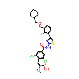 CO/C(=C/c1c(Cl)cc(C(=O)Nc2nc(-c3cccc(COCC4CCCCC4)c3F)cs2)cc1Cl)C(=O)O